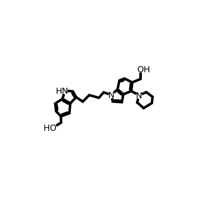 OCc1ccc2[nH]cc(CCCCn3ccc4c(N5CCCCC5)c(CO)ccc43)c2c1